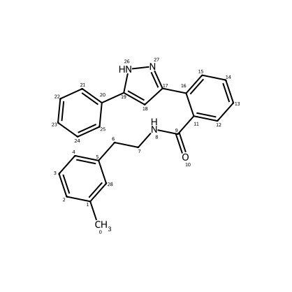 Cc1cccc(CCNC(=O)c2ccccc2-c2cc(-c3ccccc3)[nH]n2)c1